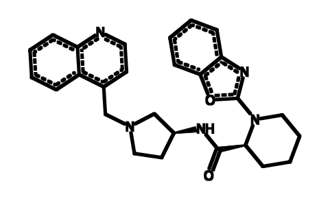 O=C(N[C@H]1CCN(Cc2ccnc3ccccc23)C1)[C@@H]1CCCCN1c1nc2ccccc2o1